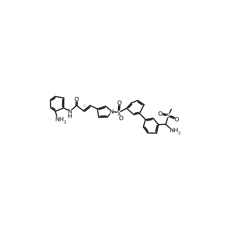 CS(=O)(=O)C(N)c1cccc(-c2cccc(S(=O)(=O)n3ccc(/C=C/C(=O)Nc4ccccc4N)c3)c2)c1